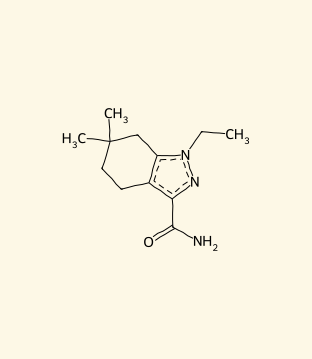 CCn1nc(C(N)=O)c2c1CC(C)(C)CC2